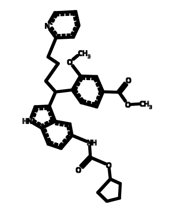 COC(=O)c1ccc(C(CCCc2ccccn2)c2c[nH]c3ccc(NC(=O)OC4CCCC4)cc23)c(OC)c1